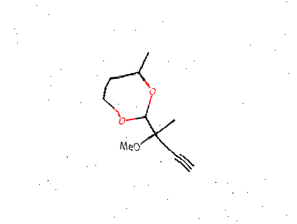 C#CC(C)(OC)C1OCCC(C)O1